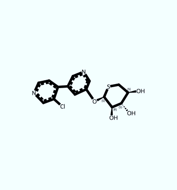 O[C@@H]1[C@@H](O)[C@@H](Oc2cncc(-c3ccncc3Cl)c2)SC[C@H]1O